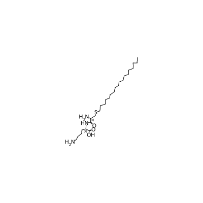 CCCCCCCCCCCCCCCCCCSC[C@H](N)C(=O)N[C@H](CCCCN)C(=O)O